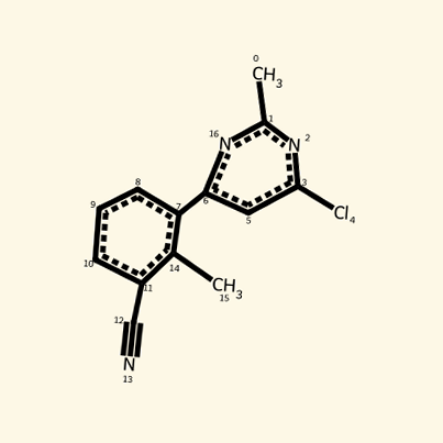 Cc1nc(Cl)cc(-c2cccc(C#N)c2C)n1